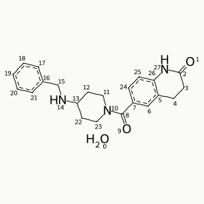 O.O=C1CCc2cc(C(=O)N3CCC(NCc4ccccc4)CC3)ccc2N1